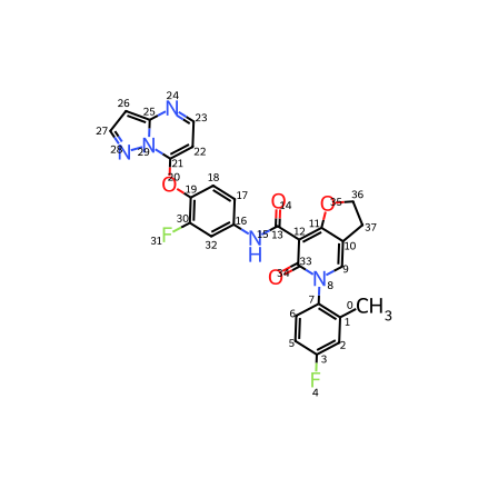 Cc1cc(F)ccc1-n1cc2c(c(C(=O)Nc3ccc(Oc4ccnc5ccnn45)c(F)c3)c1=O)OCC2